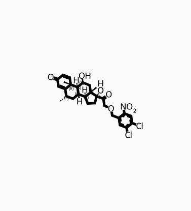 C[C@H]1C[C@@H]2[C@H]([C@@H](O)C[C@@]3(C)[C@H]2CC[C@]3(O)C(=O)COCc2cc(Cl)c(Cl)cc2[N+](=O)[O-])[C@@]2(C)C=CC(=O)C=C12